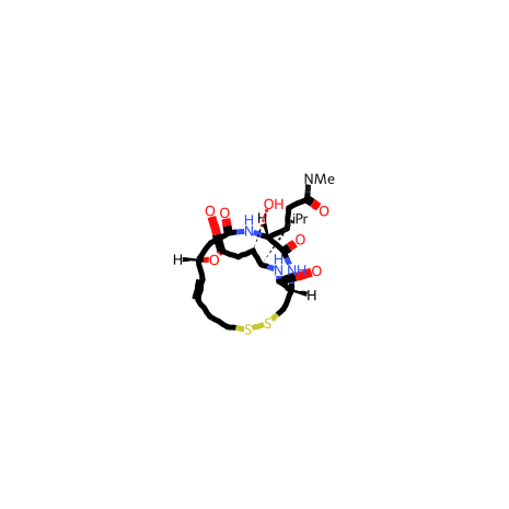 CNC(=O)CC[C@H]1NC(=O)C[C@H]2/C=C/CCSSC[C@@H](NC1=O)C(=O)N[C@H](C(C)C)[C@@H](O)CC(=O)O2